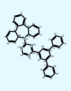 C1=CC2c3ccccc3C3C=CC=CC3N(c3ncnc(-c4cc(-c5ccccc5)cc(-c5ccccc5)c4)n3)C2C=C1